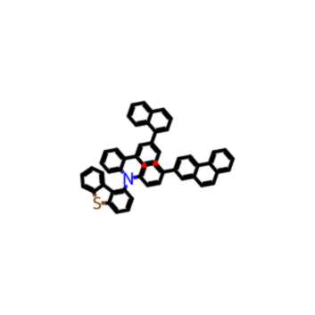 c1cc(-c2ccccc2N(c2ccc(-c3ccc4c(ccc5ccccc54)c3)cc2)c2cccc3sc4ccccc4c23)cc(-c2cccc3ccccc23)c1